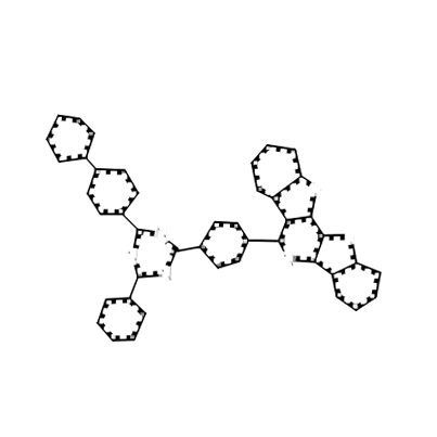 c1ccc(-c2ccc(-c3nc(-c4ccccc4)nc(-c4ccc(-c5nc6c7ccccc7sc6c6sc7ccccc7c56)cc4)n3)cc2)cc1